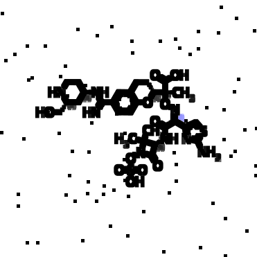 CC1(C)[C@H](NC(=O)/C(=N\O[C@](C)(C(=O)O)[C@H]2CCc3cc(C(=N)N[C@@H]4CCN[C@@H](CO)C4)ccc3O2)c2csc(N)n2)C(=O)N1OS(=O)(=O)O